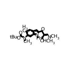 C#C/C(=C\N(C)C)C(=O)c1cc2cc(C)c(N(C)C(=O)OC(C)(C)C)cc2n1P